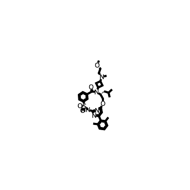 COCCN(C)C1CC(N2C(=O)c3cccc(c3)S(=O)(=O)Nc3nc(cc(-c4c(C)cccc4C)n3)OC[C@H]2CC(C)C)C1